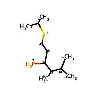 CC(C)SCCC(P)C(C)C(C)C